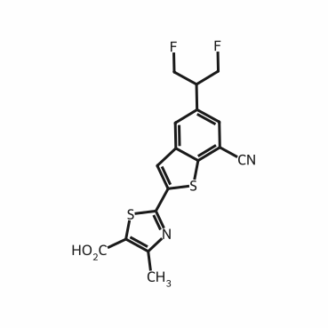 Cc1nc(-c2cc3cc(C(CF)CF)cc(C#N)c3s2)sc1C(=O)O